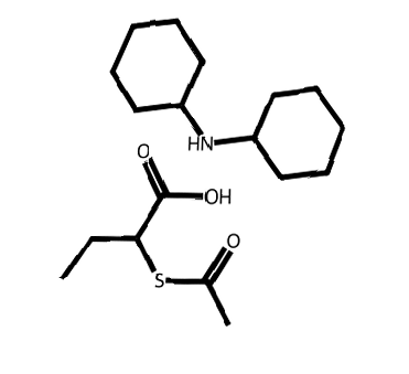 C1CCC(NC2CCCCC2)CC1.CCC(SC(C)=O)C(=O)O